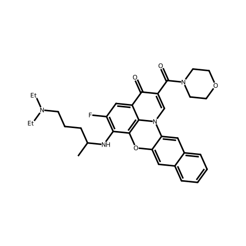 CCN(CC)CCCC(C)Nc1c(F)cc2c(=O)c(C(=O)N3CCOCC3)cn3c2c1Oc1cc2ccccc2cc1-3